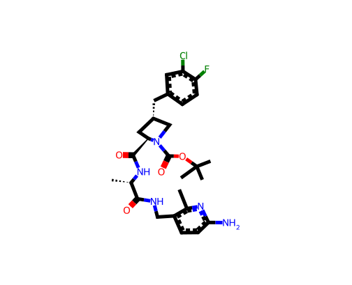 Cc1nc(N)ccc1CNC(=O)[C@H](C)NC(=O)[C@H]1C[C@H](Cc2ccc(F)c(Cl)c2)CN1C(=O)OC(C)(C)C